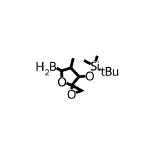 BC1OC2(CO2)C(O[Si](C)(C)C(C)(C)C)C1C